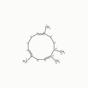 CC1=CCCC=C(C)CCC(C)C(C)=CC1